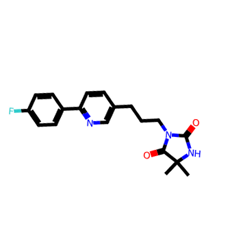 CC1(C)NC(=O)N(CCCc2ccc(-c3ccc(F)cc3)nc2)C1=O